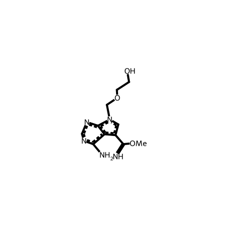 COC(=N)c1cn(COCCO)c2ncnc(N)c12